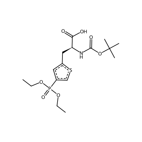 CCOP(=O)(OCC)c1csc(C[C@H](NC(=O)OC(C)(C)C)C(=O)O)c1